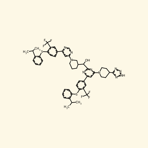 CC(C)c1ccccc1Sc1ccc(-c2cc(N3CCCC(C(O)c4nc(-c5ccc(Sc6ccccc6C(C)C)c(C(F)(F)F)c5)cc(N5CCC(c6nn[nH]n6)CC5)n4)C3)ncn2)cc1C(F)(F)F